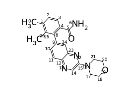 Cc1ccc(C(N)=O)c(-c2ccc3ncc(N4CCOCC4)nc3c2)c1C